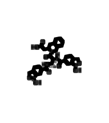 C[C@H](NC(=O)c1ccc2c(c1)B(O)OC2)[C@H](NC(=O)c1ccc2c(c1)B(O)OC2)C(=O)N1Cc2ccccc2CC1CC(=O)O